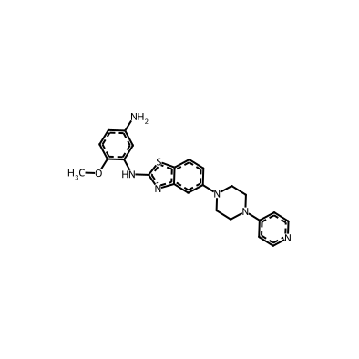 COc1ccc(N)cc1Nc1nc2cc(N3CCN(c4ccncc4)CC3)ccc2s1